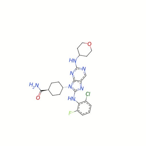 NC(=O)[C@H]1CC[C@H](n2c(Nc3c(F)cccc3Cl)nc3cnc(NC4CCOCC4)nc32)CC1